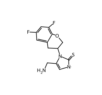 NCC1=C[N]C(=S)N1C1COc2c(F)cc(F)cc2C1